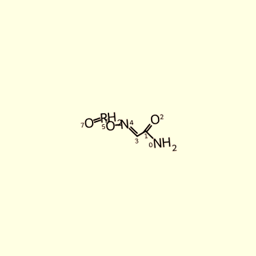 NC(=O)C=NO[PH2]=O